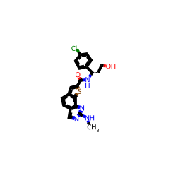 CNc1ncc2ccc3cc(C(=O)N[C@@H](CCO)c4ccc(Cl)cc4)sc3c2n1